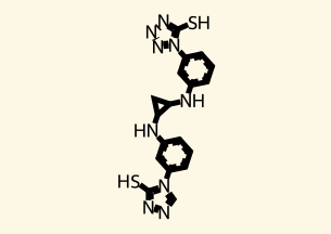 Sc1nncn1-c1cccc(NC2CC2Nc2cccc(-n3nnnc3S)c2)c1